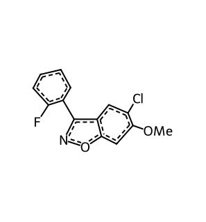 COc1cc2onc(-c3ccccc3F)c2cc1Cl